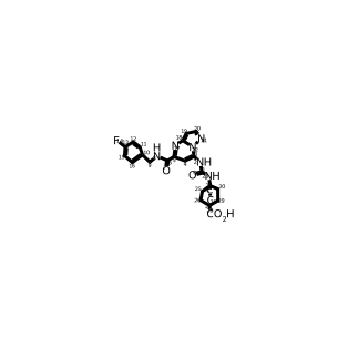 O=C(Nc1cc(C(=O)NCc2ccc(F)cc2)nc2ccnn12)NC12CCC(C(=O)O)(CC1)CC2